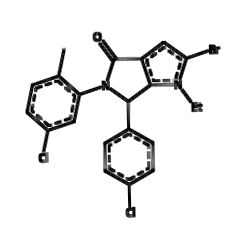 CCn1c(Br)cc2c1C(c1ccc(Cl)cc1)N(c1cc(Cl)ccc1C)C2=O